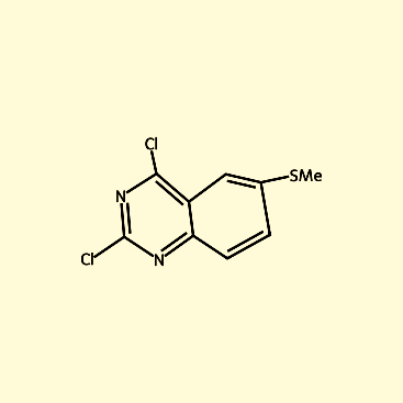 CSc1ccc2nc(Cl)nc(Cl)c2c1